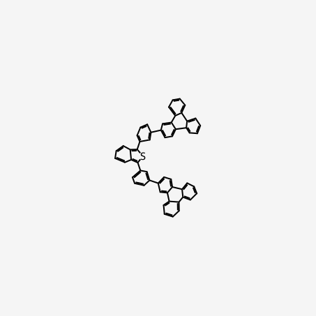 c1cc(-c2ccc3c4ccccc4c4ccccc4c3c2)cc(-c2sc(-c3cccc(-c4ccc5c6ccccc6c6ccccc6c5c4)c3)c3ccccc23)c1